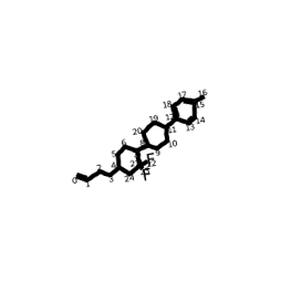 C=CCCC1CCC(C2CCC(c3ccc(C)cc3)CC2)C(F)(F)C1